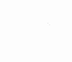 O=C(NO)c1cccc(C(F)(F)F)c1F